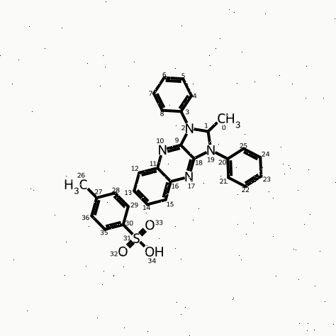 CC1N(c2ccccc2)c2nc3ccccc3nc2N1c1ccccc1.Cc1ccc(S(=O)(=O)O)cc1